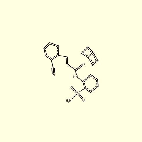 N#Cc1ccccc1C=CC(=O)Nc1ccccc1S(N)(=O)=O.c1cc2ccc1-2